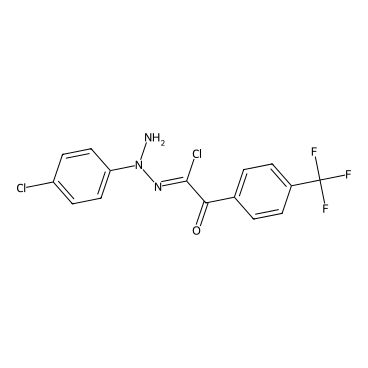 NN(N=C(Cl)C(=O)c1ccc(C(F)(F)F)cc1)c1ccc(Cl)cc1